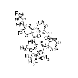 COc1c(NC(=O)c2ccc(NCC(F)(F)F)c(F)c2)cc(-c2cccnc2OCc2ccccc2)cc1C(C)(C)C